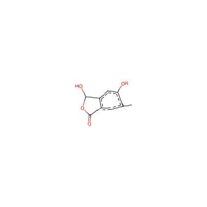 Cc1cc2c(cc1O)C(O)OC2=O